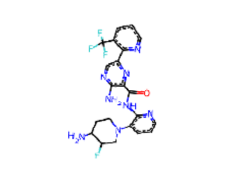 Nc1ncc(-c2ncccc2C(F)(F)F)nc1C(=O)Nc1ncccc1N1CCC(N)C(F)C1